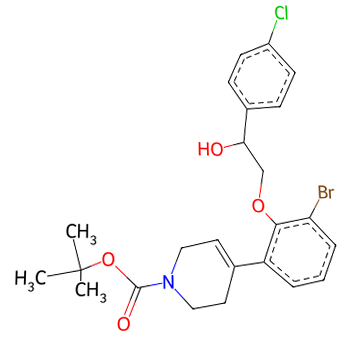 CC(C)(C)OC(=O)N1CC=C(c2cccc(Br)c2OCC(O)c2ccc(Cl)cc2)CC1